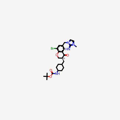 Cn1ccn(Cc2cc(Br)c3c(c2)C(=O)[C@@H](CC2CCC(NC(=O)OC(C)(C)C)CC2)CO3)c1=N